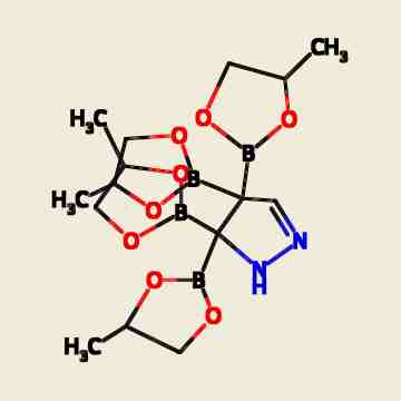 CC1COB(C2(B3OCC(C)O3)C=NNC2(B2OCC(C)O2)B2OCC(C)O2)O1